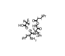 CC(C)CCC(=O)ONC(=O)[C@](C)(CC(C)C)NC(=O)[C@@H](N)CC(C)C.O=C(O)C(F)(F)F